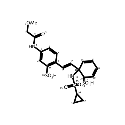 COCC(=O)Nc1ccc(/C=C/C2(NS(=O)(=O)C3CC3)C=CC=CC2S(=O)(=O)O)c(S(=O)(=O)O)c1